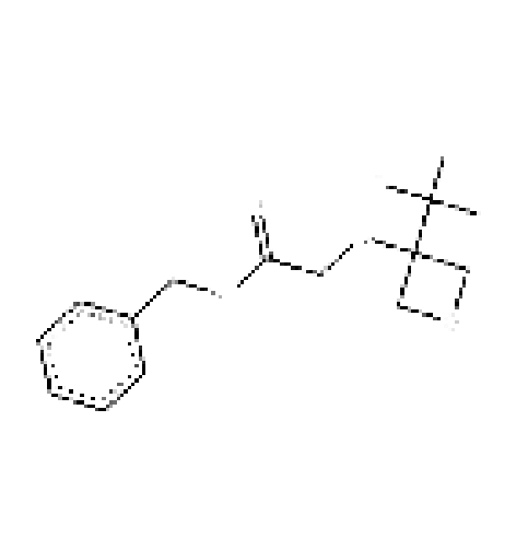 O=C(CNC1(C(F)(F)F)COC1)OCc1ccccc1